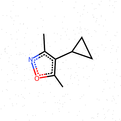 Cc1noc(C)c1C1CC1